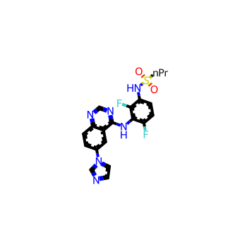 CCCS(=O)(=O)Nc1ccc(F)c(Nc2ncnc3ccc(-n4ccnc4)cc23)c1F